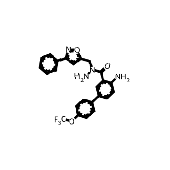 Nc1ccc(-c2ccc(OC(F)(F)F)cc2)cc1C(=O)N(N)Cc1cc(-c2ccccc2)no1